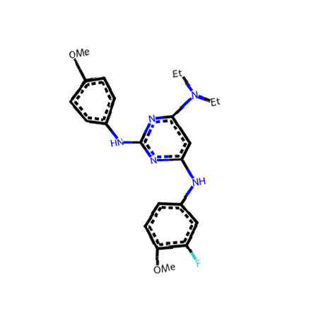 CCN(CC)c1cc(Nc2ccc(OC)c(F)c2)nc(Nc2ccc(OC)cc2)n1